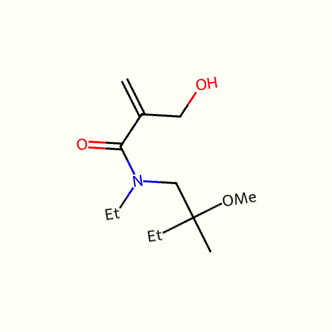 C=C(CO)C(=O)N(CC)CC(C)(CC)OC